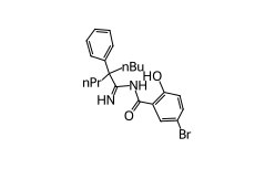 CCCCC(CCC)(C(=N)NC(=O)c1cc(Br)ccc1O)c1ccccc1